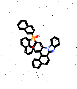 O=P(c1ccc2ccccc2c1)(c1ccc2c3c4ccccc4ccc3c3nc4ccccc4n3c2c1)c1cccc2ccccc12